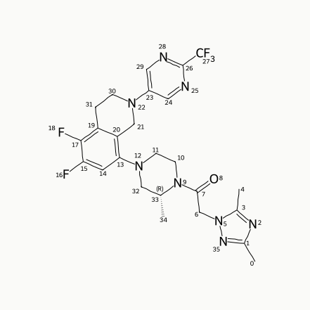 Cc1nc(C)n(CC(=O)N2CCN(c3cc(F)c(F)c4c3CN(c3cnc(C(F)(F)F)nc3)CC4)C[C@H]2C)n1